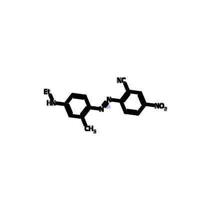 CCNc1ccc(/N=N/c2ccc([N+](=O)[O-])cc2C#N)c(C)c1